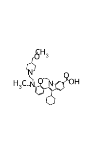 CCN(CCN1CCC(COC)CC1)c1cccc2c1OCCn1c-2c(C2CCCCC2)c2ccc(C(=O)O)cc21